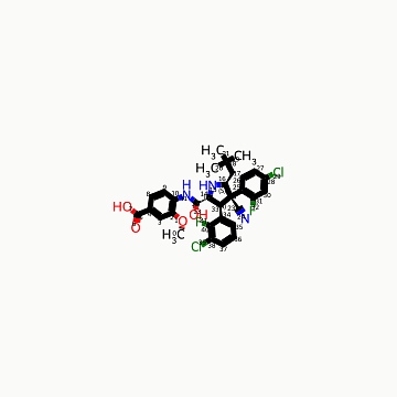 COc1cc(C(=O)O)ccc1NC(O)[C@@H]1N[C@@H](CC(C)(C)C)[C@](C#N)(c2ccc(Cl)cc2F)[C@H]1c1cccc(Cl)c1F